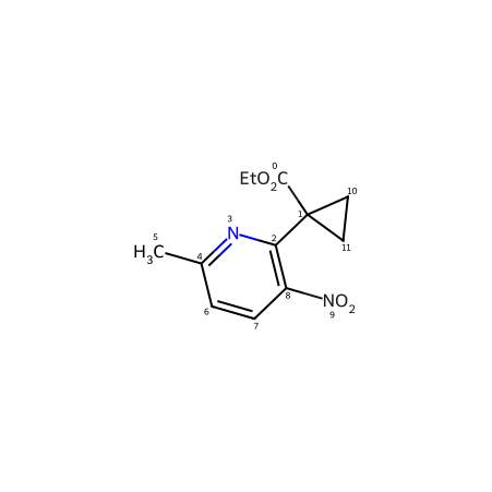 CCOC(=O)C1(c2nc(C)ccc2[N+](=O)[O-])CC1